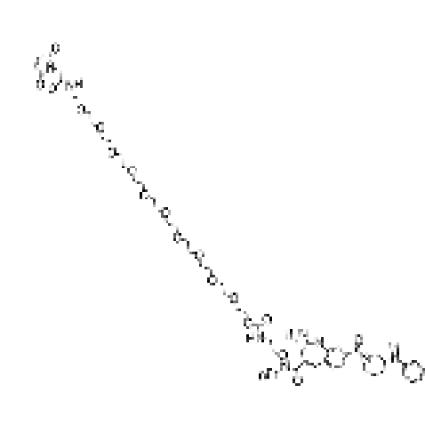 CCCN(OCCNC(=O)OCCOCCOCCOCCOCCOCCOCCOCCOCCOCCOCCNC(=O)CN1C(=O)C=CC1=O)C(=O)C1=Cc2ccc(C(=O)N3CCC[C@@H](Nc4ccccc4)C3)cc2N=C(N)C1